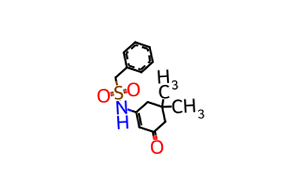 CC1(C)CC(=O)C=C(NS(=O)(=O)Cc2ccccc2)C1